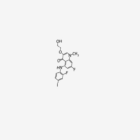 Cn1cc(OCCO)c(=O)c2c(Nc3ccc(I)cc3F)cc(F)cc21